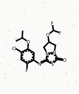 CC(C)Oc1cc(N=c2sc(=O)n3n2CC(OC(F)F)C3)c(F)cc1Cl